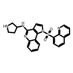 O=S(=O)(c1cccc2cccnc12)n1ccc2c(NC3CCNC3)nc3ccccc3c21